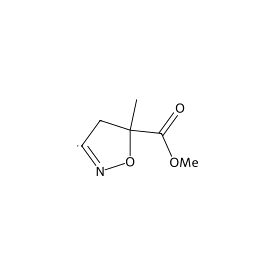 COC(=O)C1(C)C[C]=NO1